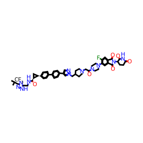 CC(C)(c1n[nH]c(CNC(=O)[C@H]2C[C@@H]2c2ccc(-c3ccc(-c4cnn(CC5CCN(CC(=O)N6CCN(c7cc8c(cc7F)C(=O)N(C7CCC(=O)NC7=O)C8=O)CC6)CC5)c4)cc3)cc2)n1)C(F)(F)F